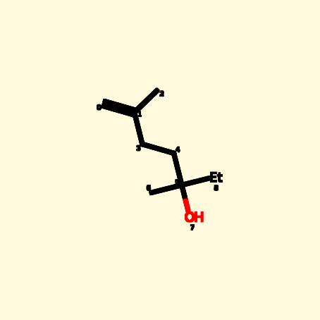 C=C(C)CCC(C)(O)CC